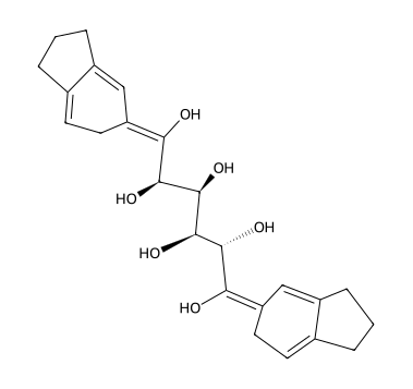 OC(=C1C=C2CCCC2=CC1)[C@@H](O)[C@@H](O)[C@H](O)[C@@H](O)C(O)=C1C=C2CCCC2=CC1